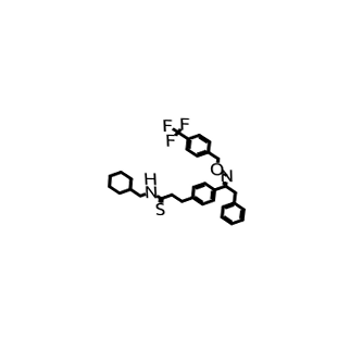 FC(F)(F)c1ccc(CON=C(Cc2ccccc2)c2ccc(CCC(=S)NCC3CCCCC3)cc2)cc1